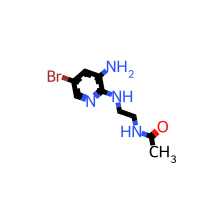 CC(=O)NCCNc1ncc(Br)cc1N